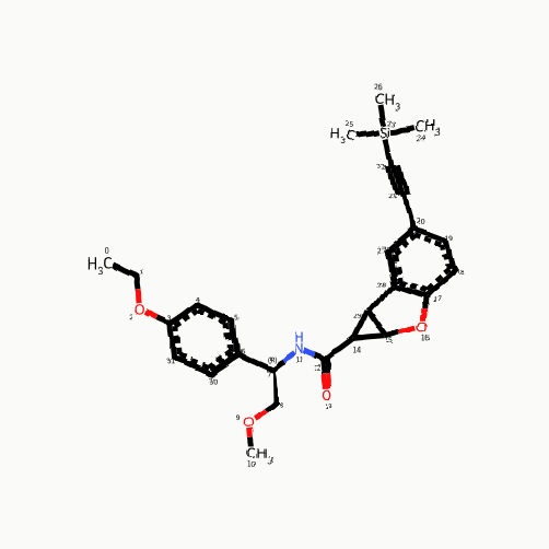 CCOc1ccc([C@H](COC)NC(=O)C2C3Oc4ccc(C#C[Si](C)(C)C)cc4C32)cc1